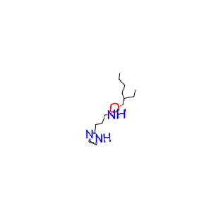 CCCCC(CC)CONCCCc1ncc[nH]1